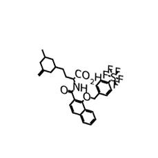 C=C1CC(C)CC(CC[C@H](NC(=O)c2ccc3ccccc3c2OCc2ccc(S(F)(F)(F)(F)F)cc2)C(=O)O)C1